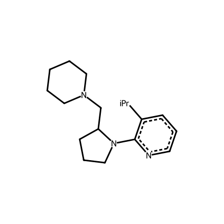 CC(C)c1cccnc1N1CCCC1CN1CCCCC1